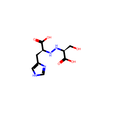 O=C(O)[C@H](CO)NN[C@@H](Cc1c[nH]cn1)C(=O)O